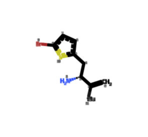 C=C([C@H](N)Cc1ccc(Br)s1)C(C)(C)C